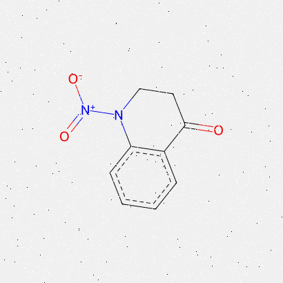 O=C1CCN([N+](=O)[O-])c2ccccc21